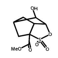 COC(=O)C12CC3CC1C(OS2(=O)=O)C3O